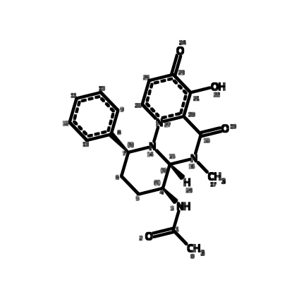 CC(=O)N[C@H]1CC[C@@H](c2ccccc2)N2[C@@H]1N(C)C(=O)c1c(O)c(=O)ccn12